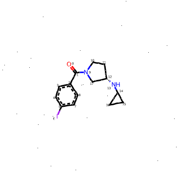 O=C(c1ccc(I)cc1)N1CC[C@H](NC2CC2)C1